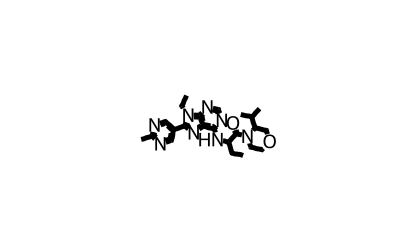 CCC(Nc1ncnc2c1nc(-c1cnc(C)nc1)n2CC)C(=O)N1CCOCC1C(C)C